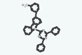 Cc1cccc(-c2ccc3c(c2)c2ccccc2n3-c2nc(-c3ccccc3)nc(-c3ccccc3)n2)c1